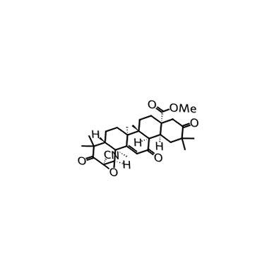 COC(=O)[C@@]12CC[C@]3(C)[C@H](C(=O)C=C4[C@@]5(C)[C@H]6O[C@@]6(C#N)C(=O)C(C)(C)[C@@H]5CC[C@]43C)[C@@H]1CC(C)(C)C(=O)C2